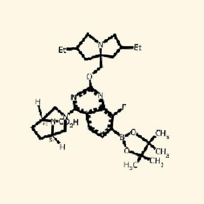 CCC1CN2CC(CC)CC2(COc2nc(N3C[C@H]4CC[C@@H](C3)N4C(=O)O)c3ccc(B4OC(C)(C)C(C)(C)O4)c(F)c3n2)C1